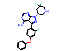 Nc1ncnc2c1c(-c1ccc(Oc3ccccc3)cc1F)nn2[C@H]1CNCC(F)(F)C1